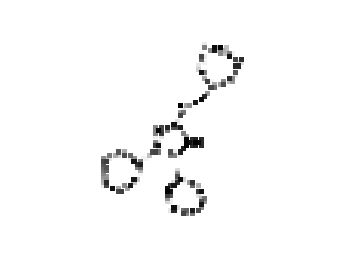 c1ccc(-c2nc(SCc3ccncc3)[nH]c2-c2ccccc2)cc1